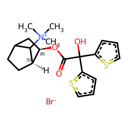 C[N+](C)(C)C1C2CC[C@@H]1[C@H](OC(=O)C(O)(c1cccs1)c1cccs1)C2.[Br-]